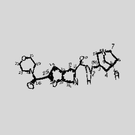 O=C(N[C@@H]1C[C@@H]2CCN(C2)C1)c1cc2cc(C(=O)N3CCOCC3)oc2cn1